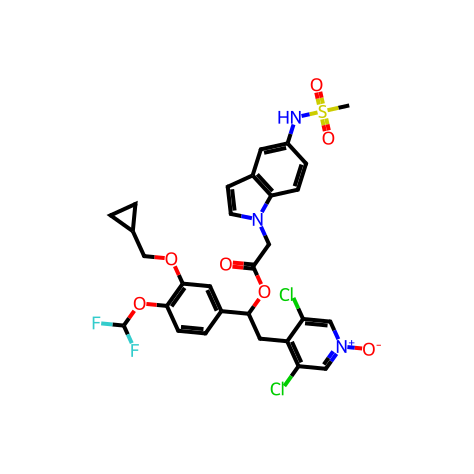 CS(=O)(=O)Nc1ccc2c(ccn2CC(=O)OC(Cc2c(Cl)c[n+]([O-])cc2Cl)c2ccc(OC(F)F)c(OCC3CC3)c2)c1